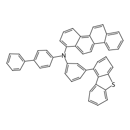 c1ccc(-c2ccc(N(c3cccc(-c4cccc5sc6ccccc6c45)c3)c3cccc4c3ccc3c5ccccc5ccc43)cc2)cc1